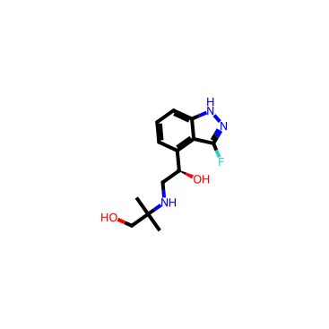 CC(C)(CO)NC[C@H](O)c1cccc2[nH]nc(F)c12